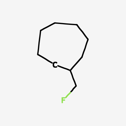 FCC1CCCCCCC1